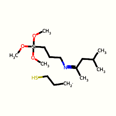 CO[Si](CCCN=C(C)CC(C)C)(OC)OC.[CH2]CCS